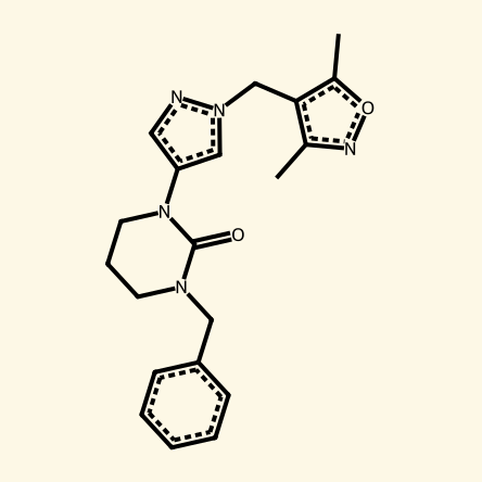 Cc1noc(C)c1Cn1cc(N2CCCN(Cc3ccccc3)C2=O)cn1